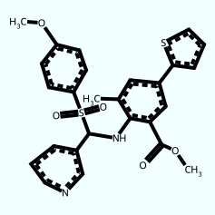 COC(=O)c1cc(-c2cccs2)cc(C)c1NC(c1cccnc1)S(=O)(=O)c1ccc(OC)cc1